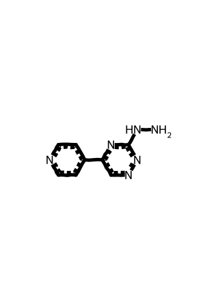 NNc1nncc(-c2ccncc2)n1